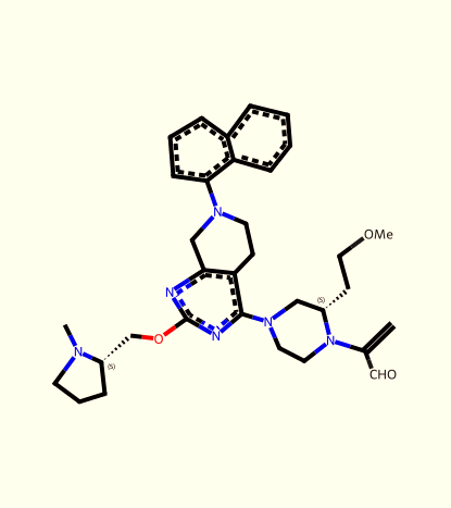 C=C(C=O)N1CCN(c2nc(OC[C@@H]3CCCN3C)nc3c2CCN(c2cccc4ccccc24)C3)C[C@@H]1CCOC